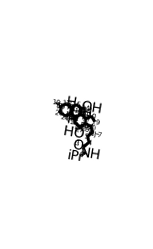 CC(C)NC(=O)CC[C@@H](C)[C@H]1CC[C@H]2[C@@H]3[C@H](O)C[C@@H]4C[C@H](C)CC[C@]4(C)[C@H]3C[C@H](O)[C@]12C